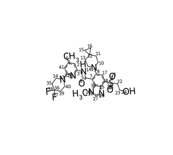 Cc1cc(NC(=O)c2c(N3CCC4(CC3)CC4)cc(S(=O)(=O)CCO)c3ncn(C)c23)nc(N2CCC(F)(F)CC2)c1